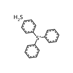 S.c1ccc([S+](c2ccccc2)c2ccccc2)cc1